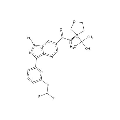 CC(C)n1nc(-c2cccc(OC(F)F)c2)c2ncc(C(=O)N[C@]3(C(C)(C)O)CCOC3)cc21